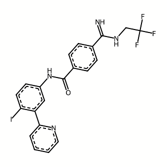 N=C(NCC(F)(F)F)c1ccc(C(=O)Nc2ccc(I)c(-c3ccccn3)c2)cc1